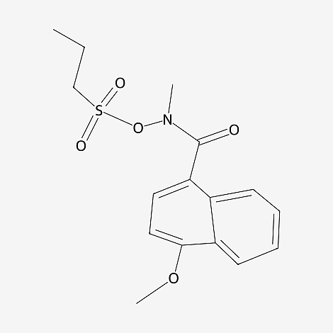 CCCS(=O)(=O)ON(C)C(=O)c1ccc(OC)c2ccccc12